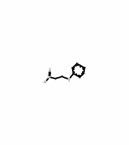 O=[N+]([O-])[CH]COc1ccccc1